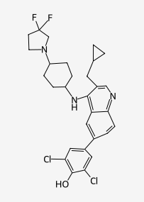 Oc1c(Cl)cc(-c2ccc3ncc(CC4CC4)c(NC4CCC(N5CCC(F)(F)C5)CC4)c3c2)cc1Cl